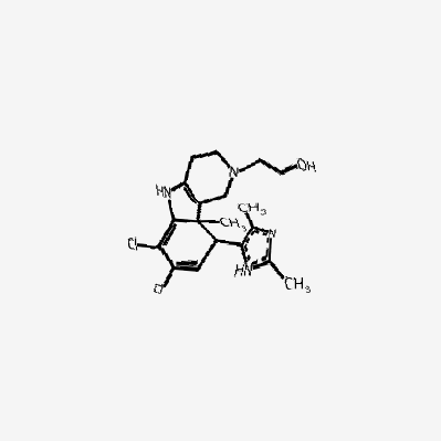 Cc1nc(C)c(C2C=C(Cl)C(Cl)=C3NC4=C(CN(CCO)CC4)C32C)[nH]1